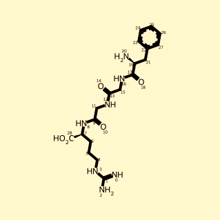 N=C(N)NCCC[C@H](NC(=O)CNC(=O)CNC(=O)[C@@H](N)Cc1ccccc1)C(=O)O